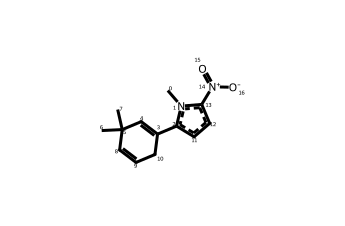 Cn1c(C2=CC(C)(C)C=CC2)ccc1[N+](=O)[O-]